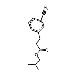 CC(C)COC(=O)CCc1cccc(C#N)c1